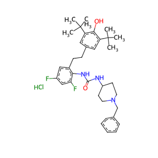 CC(C)(C)c1cc(CCc2cc(F)cc(F)c2NC(=O)NC2CCN(Cc3ccccc3)CC2)cc(C(C)(C)C)c1O.Cl